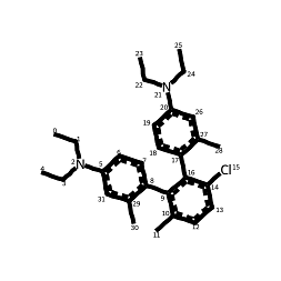 CCN(CC)c1ccc(-c2c(C)ccc(Cl)c2-c2ccc(N(CC)CC)cc2C)c(C)c1